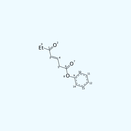 CCC(=O)/C=C/CC(=O)Oc1ccccc1